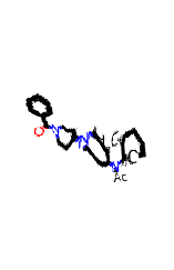 CC(=O)N(C1CCN(C2CCN(C(=O)c3ccccc3)CC2)CC1)[C@@H]1CCCC[C@H]1C